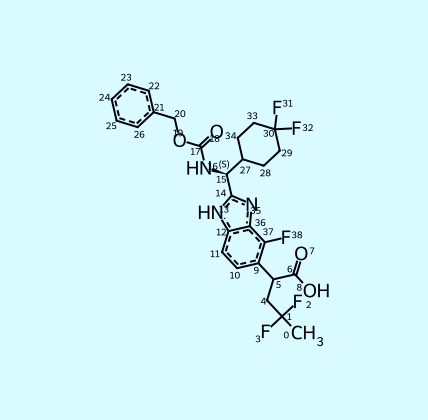 CC(F)(F)CC(C(=O)O)c1ccc2[nH]c([C@@H](NC(=O)OCc3ccccc3)C3CCC(F)(F)CC3)nc2c1F